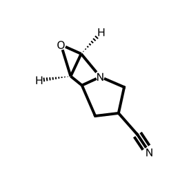 N#CC1CC2[C@H]3O[C@H]3N2C1